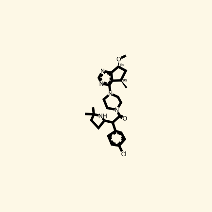 CO[C@@H]1C[C@@H](C)c2c1ncnc2N1CCN(C(=O)C(c2ccc(Cl)cc2)C2CCC(C)(C)N2)CC1